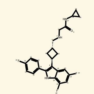 O=C(CNC[C@H]1C[C@H](c2c(-c3ccc(F)cc3)[nH]c3c(F)cc(F)cc32)C1)NC1CC1